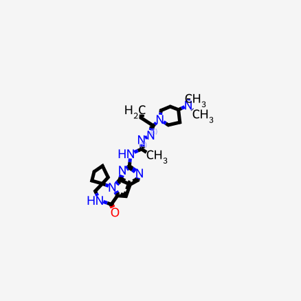 C=C/C(=N\N=C(/C)Nc1ncc2cc3n(c2n1)C1(CCCC1)CNC3=O)N1CCC(N(C)C)CC1